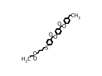 C=CC(=O)OCCCCSc1ccc(C(=O)Oc2ccc(C(=O)Oc3ccc(CC)cc3)cc2)cc1